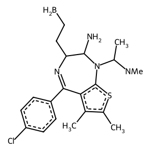 BCCC1N=C(c2ccc(Cl)cc2)c2c(sc(C)c2C)N(C(C)NC)C1N